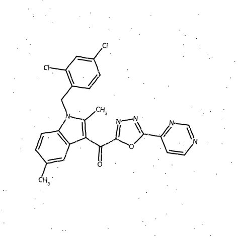 Cc1ccc2c(c1)c(C(=O)c1nnc(-c3ccncn3)o1)c(C)n2Cc1ccc(Cl)cc1Cl